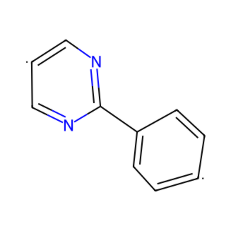 [c]1ccc(-c2nc[c]cn2)cc1